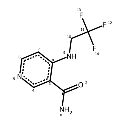 NC(=O)c1cnccc1NCC(F)(F)F